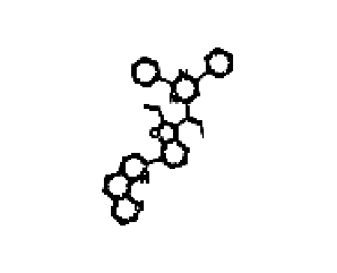 C=Cc1oc2c(-c3ccc4ccc5cccnc5c4n3)cccc2c1/C(=C\C)c1cc(-c2ccccc2)nc(-c2ccccc2)n1